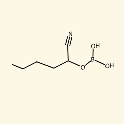 CCCCC(C#N)OB(O)O